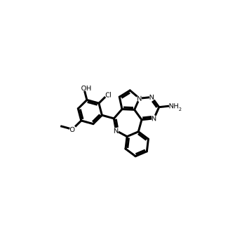 COc1cc(O)c(Cl)c(C2=Nc3ccccc3-c3nc(N)nn4ccc2c34)c1